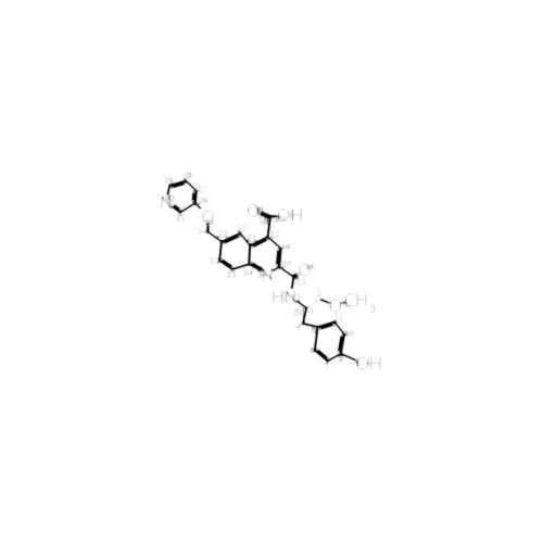 COC[C@H](Cc1ccc(O)cc1)NC(=O)c1cc(C(=O)O)c2cc(COc3cccnc3)ccc2n1